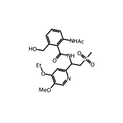 CCOc1cc(C(CS(C)(=O)=O)NC(=O)c2c(CO)cccc2NC(C)=O)ncc1OC